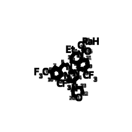 CCC1CC(N(Cc2cc(C(F)(F)F)cc(C(F)(F)F)c2)c2ncc(N3CCOCC3)cn2)c2cc(C(F)(F)F)ccc2N1C(=O)[O][RaH]